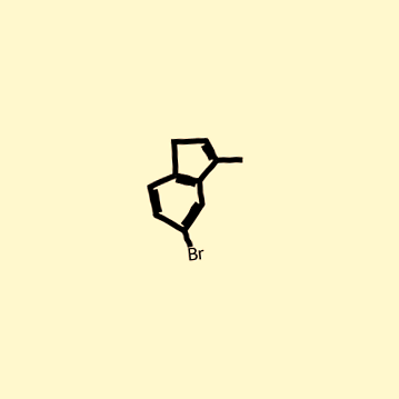 CC1=CCc2ccc(Br)cc21